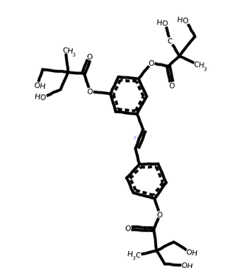 CC(CO)(CO)C(=O)Oc1ccc(/C=C/c2cc(OC(=O)C(C)(CO)CO)cc(OC(=O)C(C)(CO)CO)c2)cc1